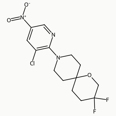 O=[N+]([O-])c1cnc(N2CCC3(CC2)CCC(F)(F)CO3)c(Cl)c1